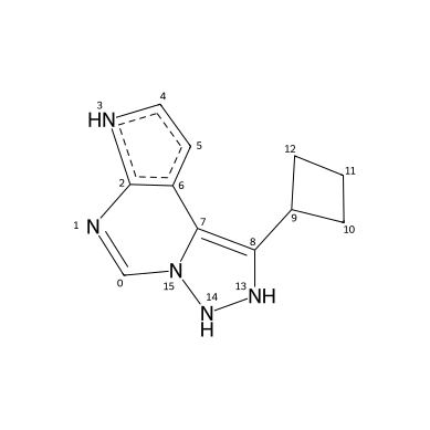 C1=Nc2[nH]ccc2C2=C(C3CCC3)NNN12